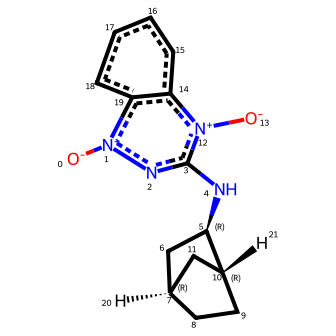 [O-][n+]1nc(N[C@@H]2C[C@@H]3CC[C@@H]2C3)[n+]([O-])c2ccccc21